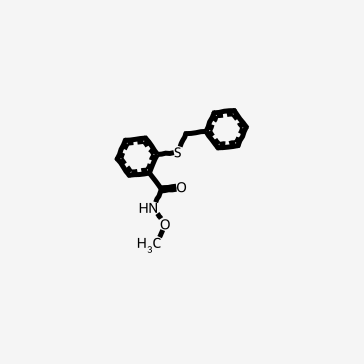 CONC(=O)c1ccccc1SCc1ccccc1